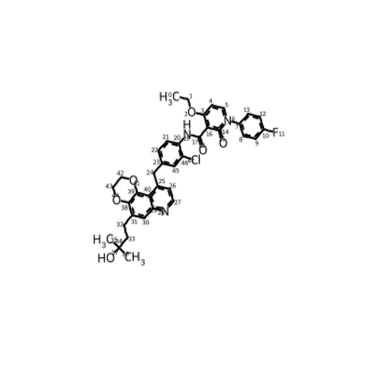 CCOc1ccn(-c2ccc(F)cc2)c(=O)c1C(=O)Nc1ccc(Cc2ccnc3cc(CCC(C)(C)O)c4c(c23)OCCO4)cc1Cl